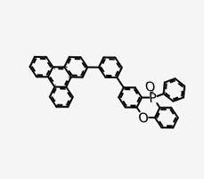 O=P1(c2ccccc2)c2ccccc2Oc2ccc(-c3cccc(-c4ccc5c6ccccc6c6ccccc6c5c4)c3)cc21